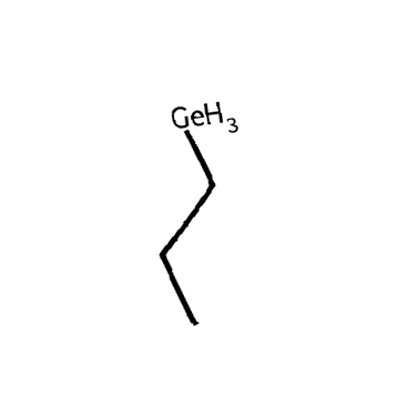 CC[CH2][GeH3]